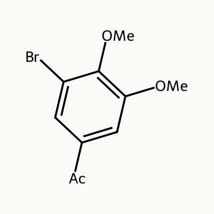 COc1cc(C(C)=O)cc(Br)c1OC